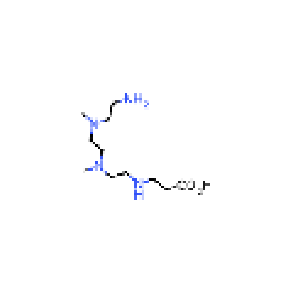 CN(CCN)CCN(C)CCNCCC(=O)O